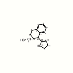 Br.Cl.c1ccc2c(c1)CCCC2C1=NCCN1